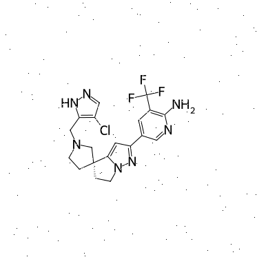 Nc1ncc(-c2cc3n(n2)CC[C@@]32CCN(Cc3[nH]ncc3Cl)C2)cc1C(F)(F)F